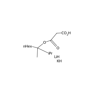 CCCCCCC(C)(OC(=O)CC(=O)O)C(C)C.[KH].[LiH]